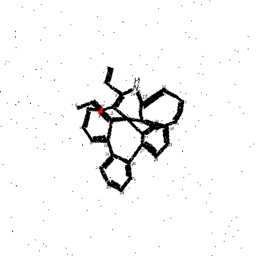 C=CC1=C(C=CC)C2(c3ccccc3N1)c1ccccc1-c1ccccc1-c1ccccc12